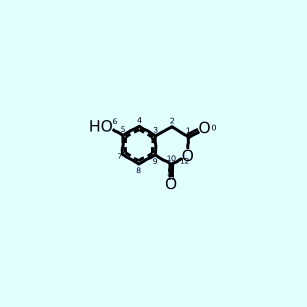 O=C1Cc2cc(O)ccc2C(=O)O1